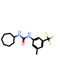 Cc1cc(NC(=O)NC2CCCCCC2)cc(C(F)(F)F)c1